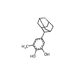 Cc1cc(C2C3CC4CC(C3)CC2C4)cc(O)c1O